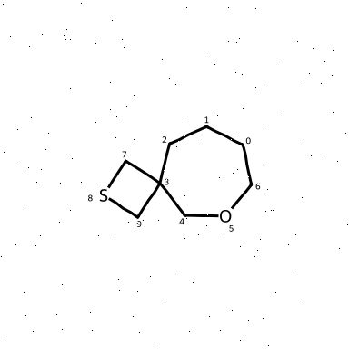 C1CCC2(COC1)CSC2